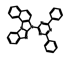 c1ccc(-c2nc(-c3ccccc3)nc(-n3c4ccc5ccccc5c4n4c5ccccc5nc34)n2)cc1